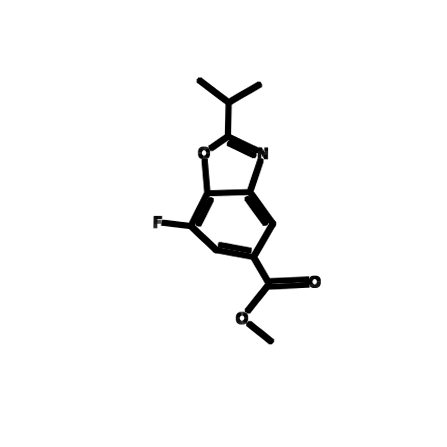 COC(=O)c1cc(F)c2oc(C(C)C)nc2c1